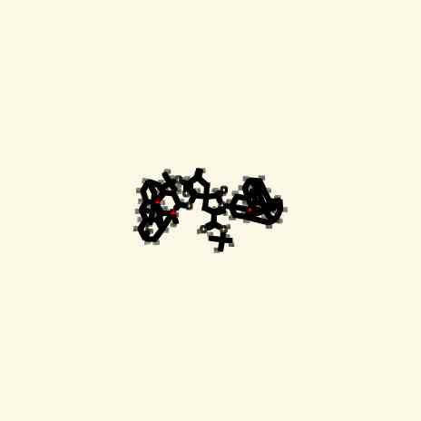 C=C(CC(CC(=C)C(=O)OC(C)(C)C)(C(=O)OC1CC23CC4CC5C6C7CC8CC6(C4)C2C(C8)(C1)C7C(CC)C53)C(=O)OC12CC3C4C5CC6CC78CC9CC(C57)C3C(C9)(C1)C8C4(C6)C2)C(=O)OC(C)(C)C